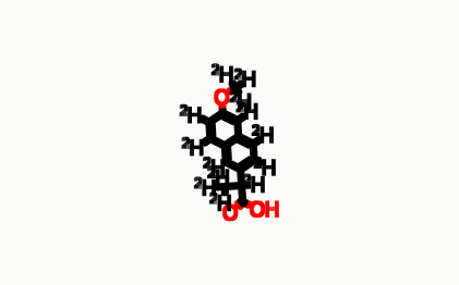 [2H]c1c(C([2H])(C(=O)O)C([2H])([2H])[2H])c([2H])c2c([2H])c([2H])c(OC([2H])([2H])[2H])c([2H])c2c1[2H]